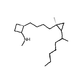 CCCCCC(C)C1C[C@]1(C)CCCCC1CCC1NC